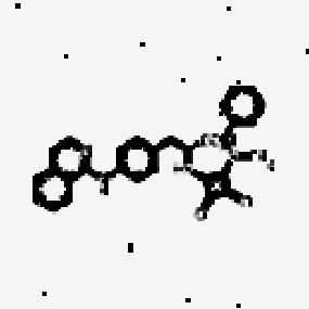 CN(Cc1ccccc1)c1c(N[C@@H](Cc2ccc(Nc3nccc4ccccc34)cc2)C(=O)O)c(=O)c1=O